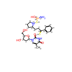 Cc1cn([C@H]2C[C@H](O)[C@@H](CO)O2)c(=O)[nH]c1=O.NP(O)SN1CCCC1CCC(=S)c1ccccc1